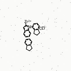 [Cl-].[Cl-].[Zr+2][c]1cc2ccccc2[nH]1.c1ccc2c(c1)CCC2.c1ccc2c(c1)CCC2